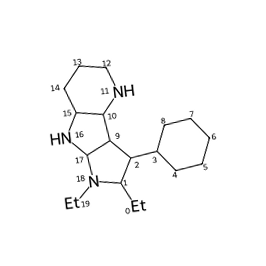 CCC1C(C2CCCCC2)C2C3NCCCC3NC2N1CC